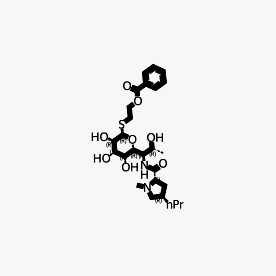 CCC[C@@H]1C[C@@H](C(=O)N[C@@H]([C@H]2O[C@H](SCCOC(=O)c3ccccc3)[C@H](O)[C@@H](O)[C@H]2O)[C@@H](C)O)N(C)C1